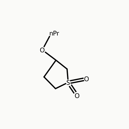 CCCOC1CCS(=O)(=O)C1